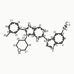 [C-]#[N+]c1ccc2ncn(-c3ncc4nc(-c5cccc(C)c5)n(C5CCOCC5)c4n3)c2c1